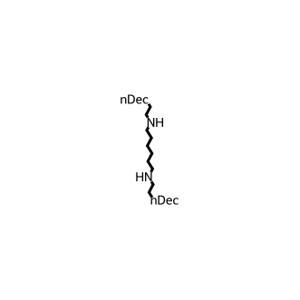 CCCCCCCCCCCCNCCCCCCNCCCCCCCCCCCC